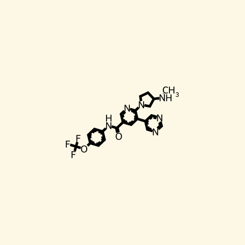 CNC1CCN(c2ncc(C(=O)Nc3ccc(OC(F)(F)F)cc3)cc2-c2cncnc2)C1